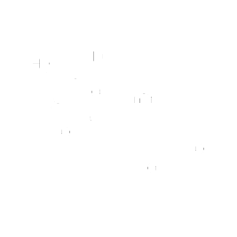 CCCC(CC(=O)OC(C)(C)CC)C1COCCO1